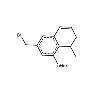 CCCCCCc1cc(CBr)cc2c1C(C)CC=C2